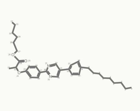 CCCCCCCCCc1ccc(-c2cnc(-c3ccc(OC(C)C(=O)OCCCCCC)cc3)nc2)cc1